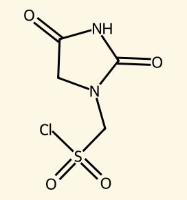 O=C1CN(CS(=O)(=O)Cl)C(=O)N1